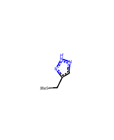 CSCc1cn[nH]n1